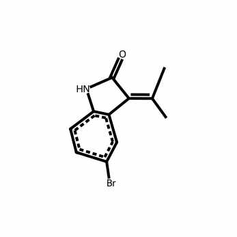 CC(C)=C1C(=O)Nc2ccc(Br)cc21